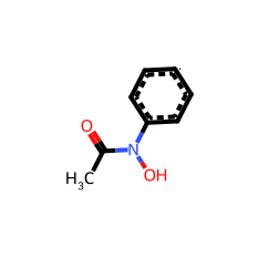 CC(=O)N(O)c1cc[c]cc1